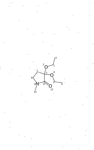 CCOC1(OCC)CCN(C)C1=O